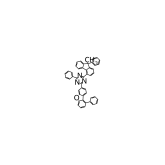 CC1(c2ccccc2)c2ccccc2-c2c(-c3nc(-c4ccccc4)nc(-c4ccc5c(c4)oc4cccc(-c6ccccc6)c45)n3)cccc21